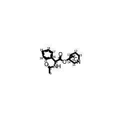 CC(=O)NC(C(=O)OC1CN2CCC1CC2)c1ccccc1